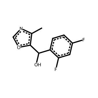 Cc1ncoc1C(O)c1ccc(F)cc1F